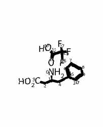 N[C@H](CC(=O)O)Cc1ccccc1.O=C(O)C(F)(F)F